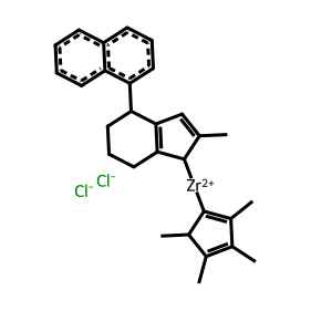 CC1=CC2=C(CCCC2c2cccc3ccccc23)[CH]1[Zr+2][C]1=C(C)C(C)=C(C)C1C.[Cl-].[Cl-]